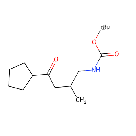 CC(CNC(=O)OC(C)(C)C)CC(=O)C1CCCC1